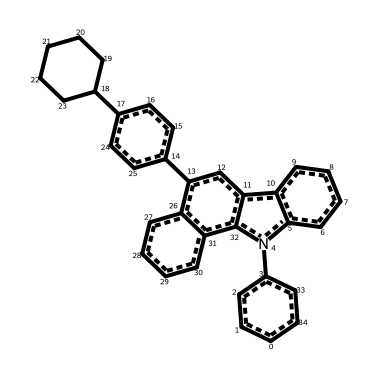 c1ccc(-n2c3ccccc3c3cc(-c4ccc(C5CCCCC5)cc4)c4ccccc4c32)cc1